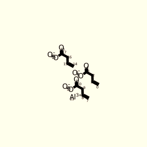 C=CCC(=O)O[O-].C=CCC(=O)O[O-].C=CCC(=O)O[O-].[Al+3]